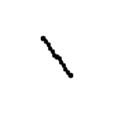 c1ccc(COCCOCCOCCOCCOc2ccc(OCCOCCOCCOCCOCc3ccccc3)cc2)cc1